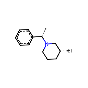 CC[C@@H]1CCCN([C@@H](C)c2ccccc2)C1